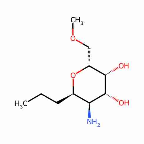 CCC[C@H]1O[C@H](COC)[C@H](O)[C@H](O)[C@H]1N